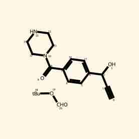 C#CC(O)c1ccc(C(=O)N2CCNCC2)cc1.CC(C)(C)OC=O